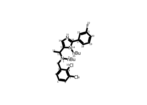 CCCCN(Cc1cccc(Cl)c1Cl)C(C)c1cnc(-c2cccc(F)c2)n1CCCC